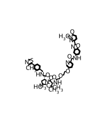 Cc1ncsc1-c1ccc(CNC(=O)[C@H]2C[C@H](O)CN2C(=O)[C@H](NC(=O)COCCOc2ccc(C(=O)Nc3ccc4oc(-c5ccc(=O)n(C)n5)nc4c3)nc2)C(C)(C)C)cc1